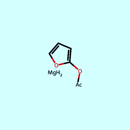 CC(=O)Oc1ccco1.[MgH2]